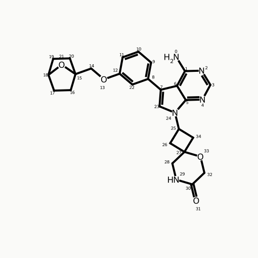 Nc1ncnc2c1c(-c1cccc(OCC34CCC(CC3)O4)c1)cn2C1CC2(CNC(=O)CO2)C1